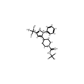 CC(C)(C)OC(=O)N1CCC(c2cc(C(F)(F)F)nn2-c2ccccc2)CC1